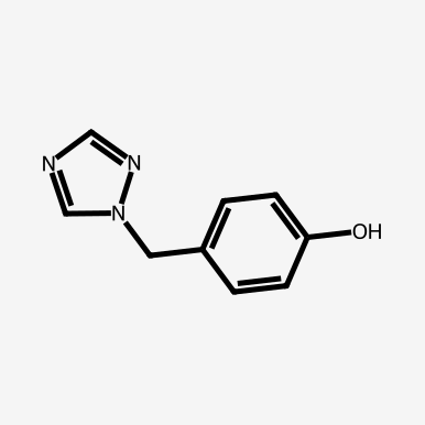 Oc1ccc(Cn2cncn2)cc1